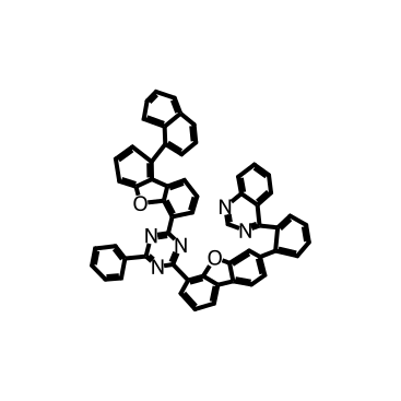 c1ccc(-c2nc(-c3cccc4c3oc3cc(-c5ccccc5-c5ncnc6ccccc56)ccc34)nc(-c3cccc4c3oc3cccc(-c5cccc6ccccc56)c34)n2)cc1